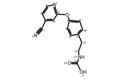 N#Cc1ccnc(Oc2ccc(CCNC(=O)O)cc2)c1